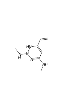 C=CC1=CC(NC)=NN(NC)N1